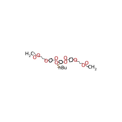 C=CC(=O)OCCCCOc1ccc(C(=O)Oc2ccc(OC(=O)c3ccc(OCCCCOC(=O)C=C)cc3)c(SCCCC)c2)cc1